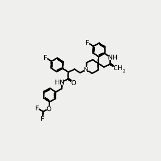 C=C1CC2(CCN(CCC(C(=O)NCc3cccc(OC(F)F)c3)c3ccc(F)cc3)CC2)c2cc(F)ccc2N1